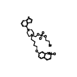 O=c1ccc2ccc(OCCCC[N+]3(COP(=O)([O-])OCCBr)CCN(c4cccc5sccc45)CC3)cc2[nH]1